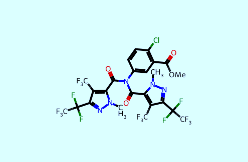 COC(=O)c1cc(N(C(=O)c2c(C(F)(F)F)c(C(F)(F)C(F)(F)F)nn2C)C(=O)c2c(C(F)(F)F)c(C(F)(F)C(F)(F)F)nn2C)ccc1Cl